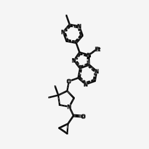 CCn1c(-c2cnc(C)nc2)nc2c(OC3CN(C(=O)C4CC4)CC3(C)C)ncnc21